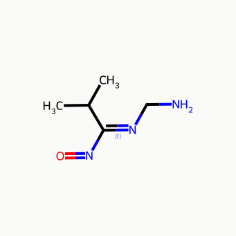 CC(C)/C(N=O)=N\CN